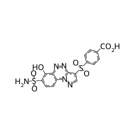 NS(=O)(=O)c1ccc2c(nnc3c(S(=O)(=O)c4ccc(C(=O)O)cc4)cnn32)c1O